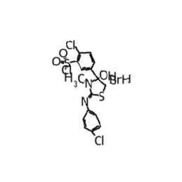 Br.CN1C(=Nc2ccc(Cl)cc2)SCC1(O)c1ccc(Cl)c(S(=O)(=O)Cl)c1